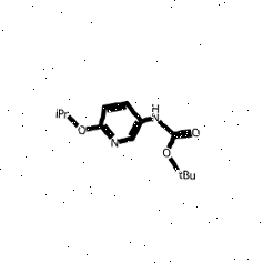 CC(C)Oc1ccc(NC(=O)OC(C)(C)C)cn1